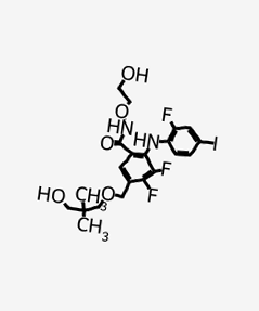 CC(C)(CO)COCc1cc(C(=O)NOCCO)c(Nc2ccc(I)cc2F)c(F)c1F